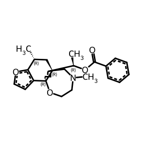 C[C@@H]1C[C@@]23CN(C)CCO[C@@]2(CC=C3[C@@H](C)OC(=O)c2ccccc2)c2ccoc21